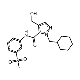 CS(=O)(=O)c1cccc(NC(=O)c2c(CO)cnn2CC2CCCCC2)c1